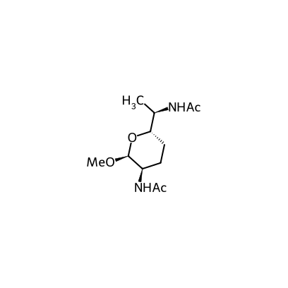 CO[C@H]1O[C@H]([C@@H](C)NC(C)=O)CC[C@H]1NC(C)=O